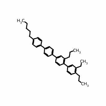 CCCCCc1ccc(-c2ccc(-c3ccc(-c4ccc(CCC)c(CC)c4)c(CCC)c3)cc2)cc1